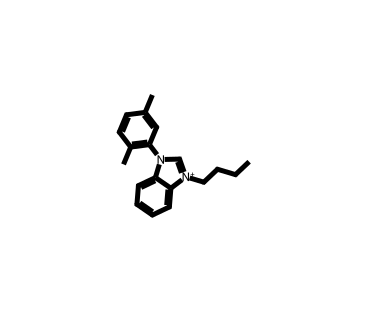 CCCC[n+]1cn(-c2cc(C)ccc2C)c2ccccc21